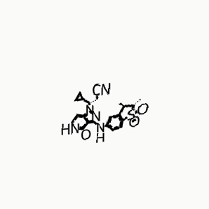 C[C@@H]1c2cc(Nc3nn([C@@H](CC#N)C4CC4)c4cc[nH]c(=O)c34)ccc2S(=O)(=O)[C@H]1C